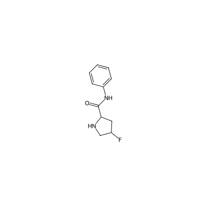 O=C(Nc1ccccc1)C1CC(F)CN1